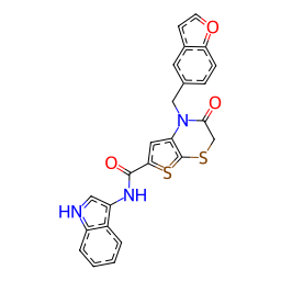 O=C(Nc1c[nH]c2ccccc12)c1cc2c(s1)SCC(=O)N2Cc1ccc2occc2c1